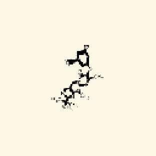 COc1nc(C(C)(C)C)ncc1Cn1cnc(C)c(Oc2cc(Cl)cc(C#N)c2)c1=O